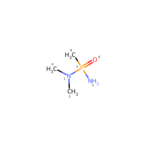 CN(C)P(C)(N)=O